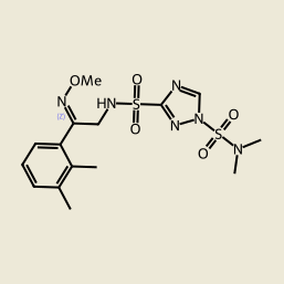 CO/N=C(\CNS(=O)(=O)c1ncn(S(=O)(=O)N(C)C)n1)c1cccc(C)c1C